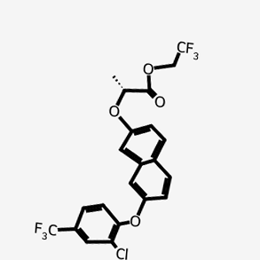 C[C@@H](Oc1ccc2ccc(Oc3ccc(C(F)(F)F)cc3Cl)cc2c1)C(=O)OCC(F)(F)F